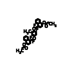 C=CC(=O)Oc1ccc(C(F)(F)Oc2ccc(OC(F)(F)c3ccc(OC(=O)C=C)c4ccccc34)c(C)c2)c2ccccc12